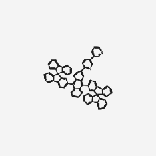 c1cncc(-c2ccc(-c3ccc4c(-c5ccc6c(c5)C5(c7ccccc7-c7ccccc75)c5ccccc5-6)c5ccccc5c(-c5ccc6c(c5)C5(c7ccccc7-c7ccccc75)c5ccccc5-6)c4c3)nc2)c1